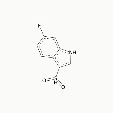 O=[SH](=O)c1c[nH]c2cc(F)ccc12